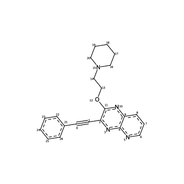 C(#Cc1nc2ncccc2nc1OCCN1CCCCC1)c1ccccc1